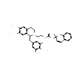 COc1cc2c(cc1OC)C(Cc1cc(OC)c(OC)c(OC)c1)N(CCNC(=O)NC1(C)C=Cc3ccccc3N1)CC2